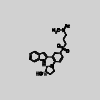 CC(=O)N(C)CCCS(=O)(=O)c1ccc(N2CC[C@H](O)C2)c(-c2cc3ccccc3[nH]2)c1